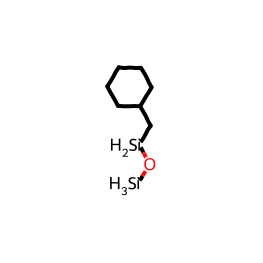 [SiH3]O[SiH2]CC1CCCCC1